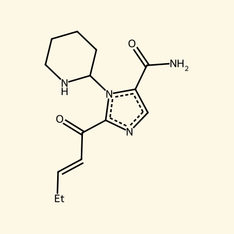 CCC=CC(=O)c1ncc(C(N)=O)n1C1CCCCN1